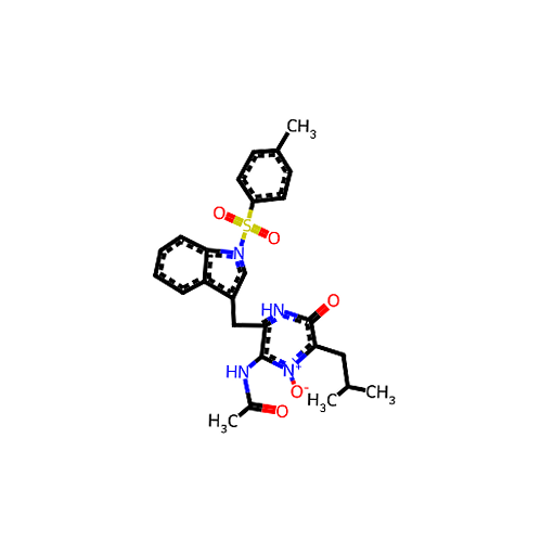 CC(=O)Nc1c(Cc2cn(S(=O)(=O)c3ccc(C)cc3)c3ccccc23)[nH]c(=O)c(CC(C)C)[n+]1[O-]